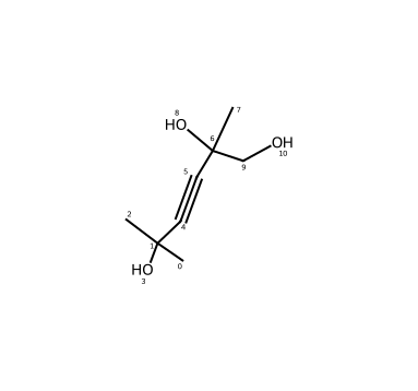 CC(C)(O)C#CC(C)(O)CO